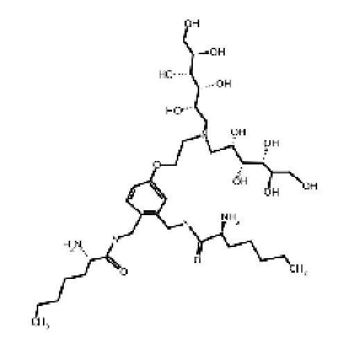 CCCCC[C@H](N)C(=O)SCc1ccc(OCCN(C[C@H](O)[C@@H](O)[C@H](O)[C@H](O)CO)C[C@H](O)[C@@H](O)[C@H](O)[C@H](O)CO)cc1CSC(=O)[C@@H](N)CCCCC